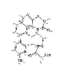 C[C@@H](O)C(=O)N1CCC(N2C(=O)N(C)Cc3cnc4ccc(-c5ccc(N)nc5)nc4c32)CC1